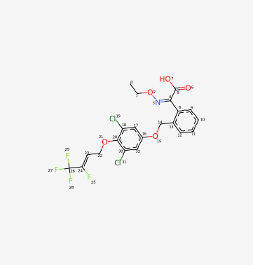 CCON=C(C(=O)O)c1ccccc1COc1cc(Cl)c(OCC=C(F)C(F)(F)F)c(Cl)c1